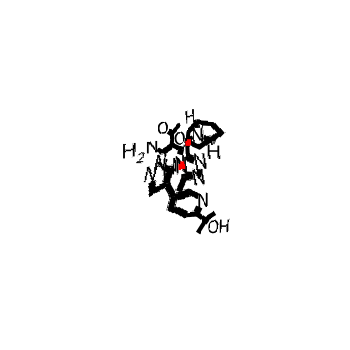 CC(=O)c1c([C@@H]2C[C@H]3CC[C@@H](C2)N3C(=O)c2nnc(C)[nH]2)nc2c(-c3ccc(C(C)(C)O)nc3)cnn2c1N